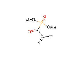 C=C(C)C(=O)P(=O)(OC)OC